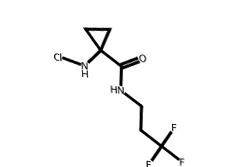 O=C(NCCC(F)(F)F)C1(NCl)CC1